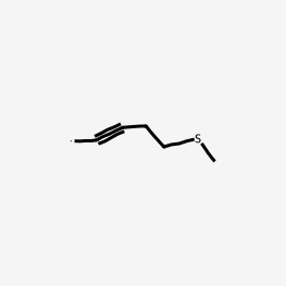 [CH2]C#CCCSC